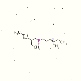 CC/C(C)=C/CCPCC(CC)C1C=C(C)C1